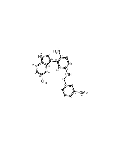 COc1cccc(CNc2ncc(N)c(-c3c[nH]c4ncc(C(F)(F)F)cc34)n2)c1